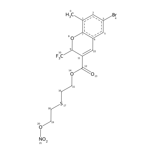 Cc1cc(Br)cc2c1OC(C(F)(F)F)C(C(=O)OCCSCCO[N+](=O)[O-])=C2